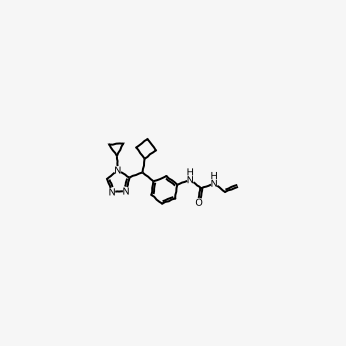 C=CNC(=O)Nc1cccc(C(c2nncn2C2CC2)C2CCC2)c1